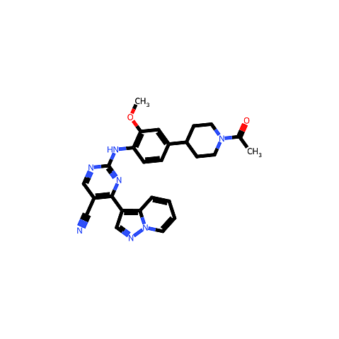 COc1cc(C2CCN(C(C)=O)CC2)ccc1Nc1ncc(C#N)c(-c2cnn3ccccc23)n1